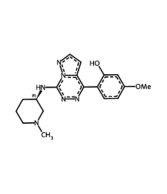 COc1ccc(-c2nnc(N[C@@H]3CCCN(C)C3)n3nccc23)c(O)c1